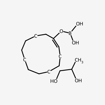 CC(O)CO.OB(O)OC1=CCCCCCCCCCC1